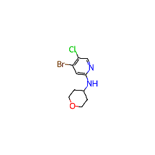 Clc1cnc(NC2CCOCC2)cc1Br